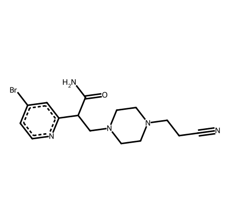 N#CCCN1CCN(CC(C(N)=O)c2cc(Br)ccn2)CC1